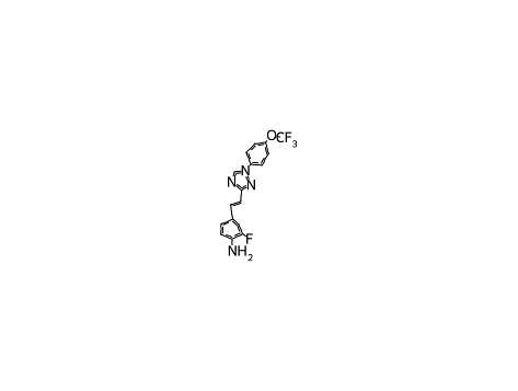 Nc1ccc(C=Cc2ncn(-c3ccc(OC(F)(F)F)cc3)n2)cc1F